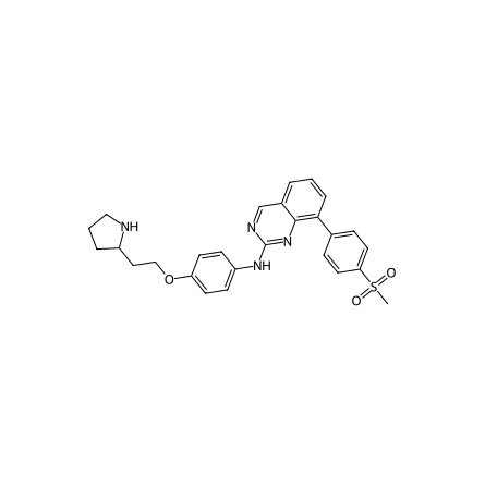 CS(=O)(=O)c1ccc(-c2cccc3cnc(Nc4ccc(OCCC5CCCN5)cc4)nc23)cc1